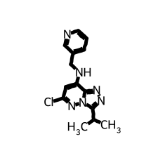 CC(C)c1nnc2c(NCc3cccnc3)cc(Cl)nn12